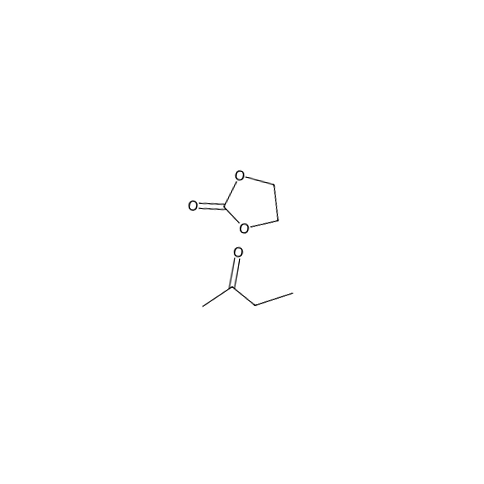 CCC(C)=O.O=C1OCCO1